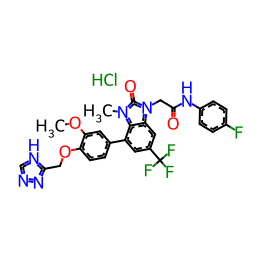 COc1cc(-c2cc(C(F)(F)F)cc3c2n(C)c(=O)n3CC(=O)Nc2ccc(F)cc2)ccc1OCc1nnc[nH]1.Cl